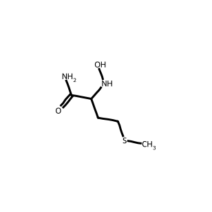 CSCCC(NO)C(N)=O